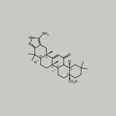 CC1(C)CC[C@]2(C(=O)O)CC[C@]3(C)C(C(=O)C=C4[C@@]5(C)Cc6c(n[nH]c6N)C(C)(C)[C@@H]5CC[C@]43C)[C@@H]2C1